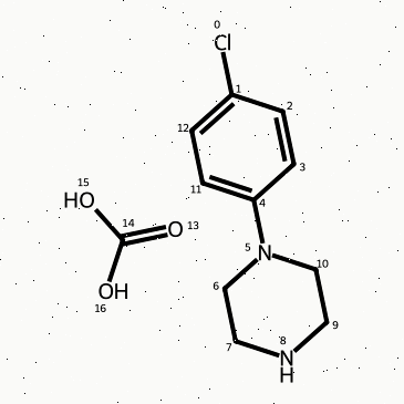 Clc1ccc(N2CCNCC2)cc1.O=C(O)O